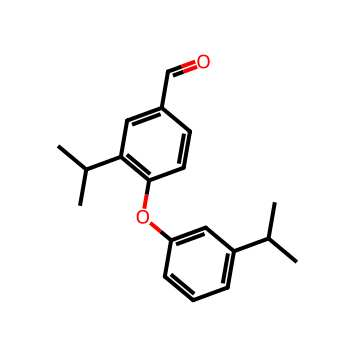 CC(C)c1cccc(Oc2ccc(C=O)cc2C(C)C)c1